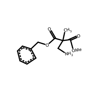 COC(=O)C(C)(CN)C(=O)OCc1ccccc1